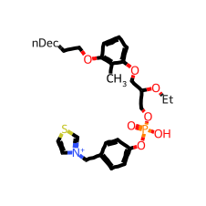 CCCCCCCCCCCCOc1cccc(OCC(COP(=O)(O)Oc2ccc(C[n+]3ccsc3)cc2)OCC)c1C